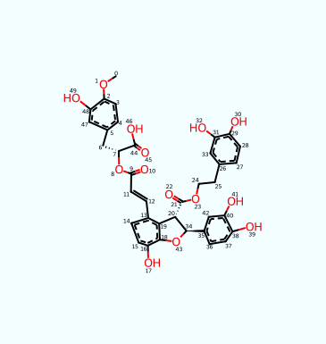 COc1ccc(C[C@@H](OC(=O)/C=C/c2ccc(O)c3c2[C@H](C(=O)OCCc2ccc(O)c(O)c2)[C@@H](c2ccc(O)c(O)c2)O3)C(=O)O)cc1O